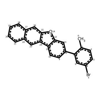 Cc1ccc(Br)cc1-c1ccc2c(c1)oc1cc3ccccc3cc12